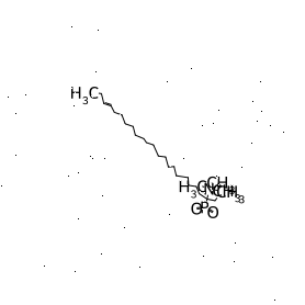 CCC=CCCCCCCCCCCCCCCCCCC(CC)(P(=O)=O)[N+](C)(C)C